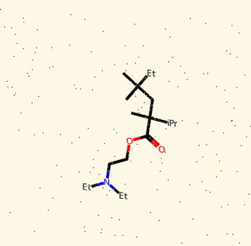 CCN(CC)CCOC(=O)C(C)(CC(C)(C)CC)C(C)C